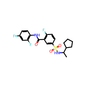 CC(NS(=O)(=O)c1ccc(F)c(C(=O)Nc2ccc(F)cc2F)c1)C1CCCC1